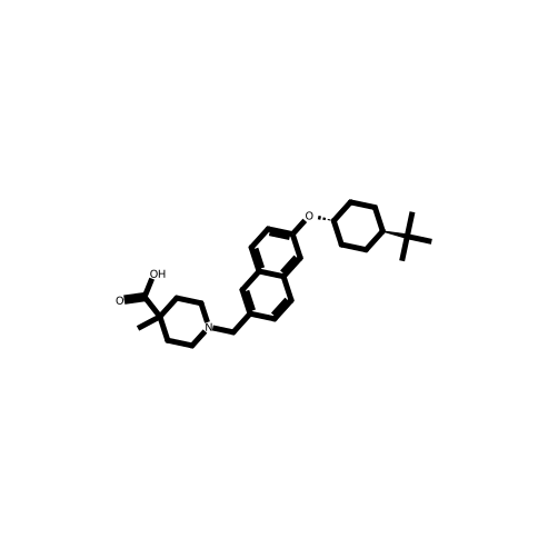 CC1(C(=O)O)CCN(Cc2ccc3cc(O[C@H]4CC[C@H](C(C)(C)C)CC4)ccc3c2)CC1